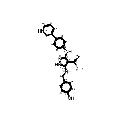 NC(=O)c1c(Nc2ccc(C3=CC=CNC3)cc2)n[nH]c1NCc1ccc(O)cc1